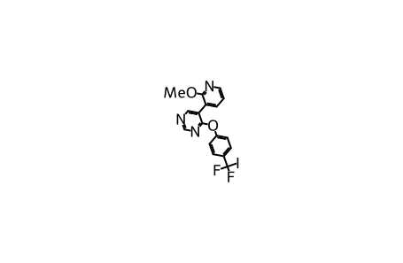 COc1ncccc1-c1cncnc1Oc1ccc(C(F)(F)I)cc1